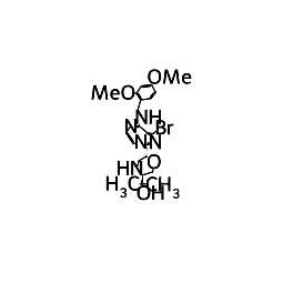 COc1ccc(CNc2nccn3c([C@H]4CN[C@H](C(C)(C)O)CO4)nc(Br)c23)c(OC)c1